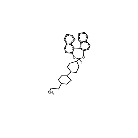 CCCC1CCC(C2CCC(C3(F)Oc4ccc5ccccc5c4-c4c(ccc5ccccc45)O3)CC2)CC1